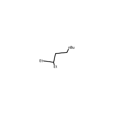 [CH2]CC(CC)CCCCCC